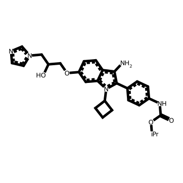 CC(C)OC(=O)Nc1ccc(-c2c(N)c3ccc(OCC(O)Cn4ccnc4)cc3n2C2CCC2)cc1